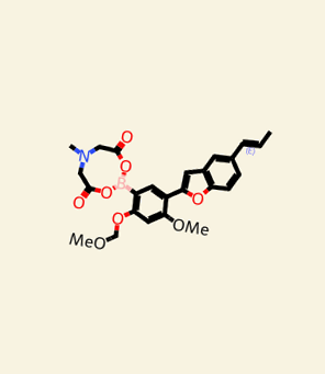 C/C=C/c1ccc2oc(-c3cc(B4OC(=O)CN(C)CC(=O)O4)c(OCOC)cc3OC)cc2c1